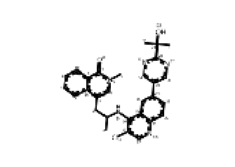 CC(Cc1cn(C)c(=O)c2ccccc12)Nc1c(Cl)cnc2ccc(-c3cnc(C(C)(C)O)nc3)cc12